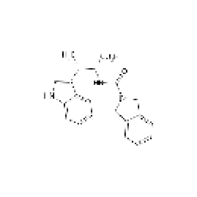 C[C@@H](c1c[nH]c2ccccc12)[C@@H](NC(=O)N1Cc2ccccc2C1)C(=O)O